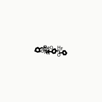 COc1cc(NC(=O)c2ccccc2F)ccc1-c1nnc(S(=O)(=O)Cc2ccccc2)o1